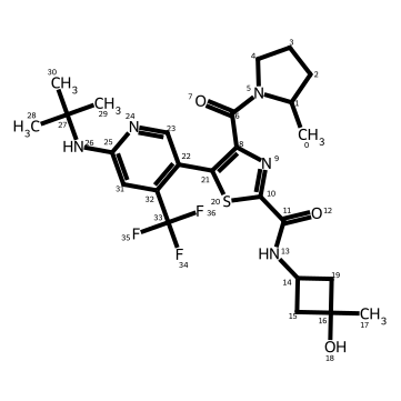 CC1CCCN1C(=O)c1nc(C(=O)NC2CC(C)(O)C2)sc1-c1cnc(NC(C)(C)C)cc1C(F)(F)F